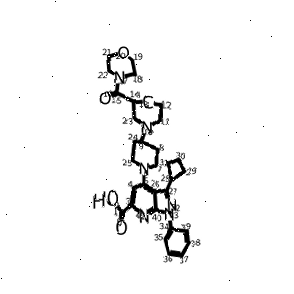 O=C(O)c1cc(N2CCC(N3CCCC(C(=O)N4CCOCC4)C3)CC2)c2c(C3CCC3)nn(-c3ccccc3)c2n1